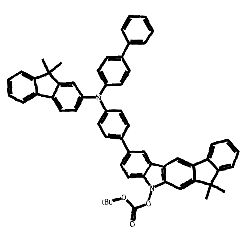 CC(C)(C)OC(=O)On1c2ccc(-c3ccc(N(c4ccc(-c5ccccc5)cc4)c4ccc5c(c4)C(C)(C)c4ccccc4-5)cc3)cc2c2cc3c(cc21)C(C)(C)c1ccccc1-3